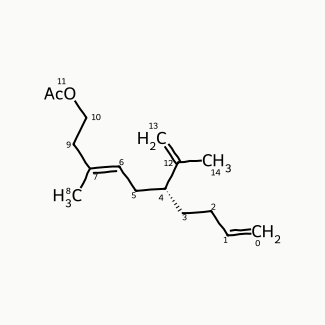 C=CCC[C@H](CC=C(C)CCOC(C)=O)C(=C)C